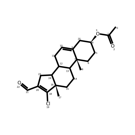 CC(=O)O[C@H]1CC[C@@]2(C)C(=CCC3C2CC[C@]2(C)C(Cl)=C(C=O)CC32)C1